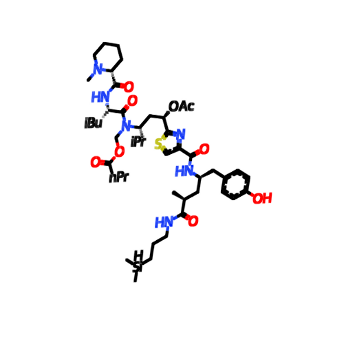 CCCC(=O)OCN(C(=O)[C@@H](NC(=O)[C@H]1CCCCN1C)[C@@H](C)CC)[C@H](C[C@@H](OC(C)=O)c1nc(C(=O)N[C@@H](Cc2ccc(O)cc2)C[C@H](C)C(=O)NCCC[SiH](C)C)cs1)C(C)C